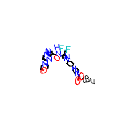 CC(C)(C)OC(=O)N1CCN(C2CCC(n3cc(NC(=O)c4cnn5ccc(N6CCOCC6)nc45)c(C(F)F)n3)CC2)CC1